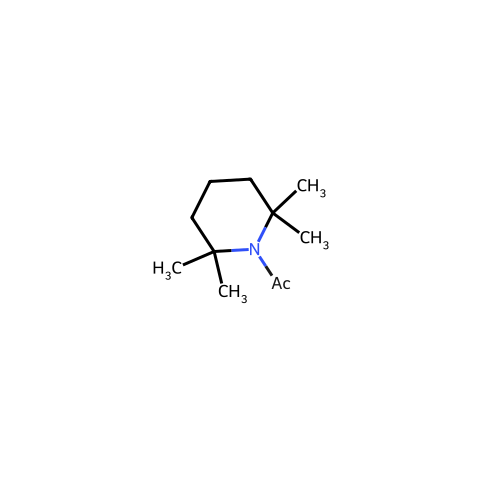 [CH2]C(=O)N1C(C)(C)CCCC1(C)C